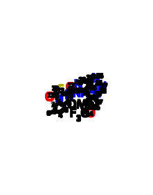 COCc1ccc(C)cc1N1C(=O)CSC1=NC(=O)Nc1ccc(CN(C)c2ncn(-c3ccc(OC(F)(F)F)cc3)n2)cn1